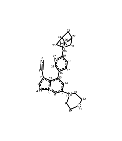 N#Cc1cnn2cc(N3CCOCC3)cc(-c3ccc(N4CC5CC(C4)N5)nc3)c12